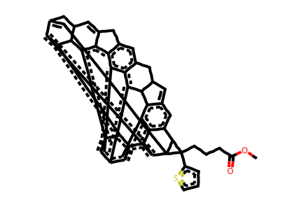 COC(=O)CCCC1(c2cccs2)C2c3cc4c5c6c3c3c7c8c9c%10c%11c%12c%13c%14c(cc%15c%16c(c(c%11c%14%16)c6c3%10)C5C(C=4)C%15)CC%13=CC(CC8=CC721)C%129